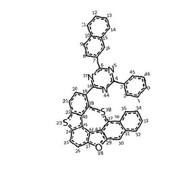 c1ccc(-c2nc(-c3ccc4ccccc4c3)nc(-c3ccc4sc5ccc6oc7cc8ccccc8c8sc3c4c5c6c78)n2)cc1